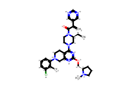 C=C(C(=O)N1CCN(c2nc(OC[C@@H]3CCCN3C)nc3c2CCN(c2cccc(Cl)c2C(F)(F)F)C3)C[C@@H]1CC#N)c1cncnc1